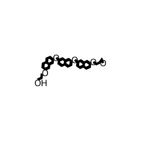 OCCCOc1ccc2ccc(Oc3ccc4ccc(Oc5ccc6ccc(OCC7CO7)cc6c5)cc4c3)cc2c1